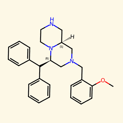 COc1ccccc1CN1C[C@@H]2CNCCN2[C@H](C(c2ccccc2)c2ccccc2)C1